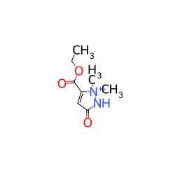 CCOC(=O)C1=CC(=O)N[N+]1(C)C